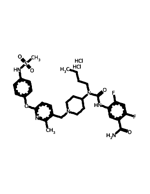 CCCCN(C(=O)Nc1cc(C(N)=O)c(F)cc1F)C1CCN(Cc2ccc(Oc3ccc(NS(C)(=O)=O)cc3)nc2C)CC1.Cl.Cl